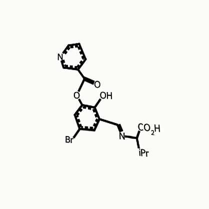 CC(C)C(N=Cc1cc(Br)cc(OC(=O)c2cccnc2)c1O)C(=O)O